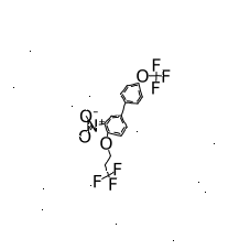 O=[N+]([O-])c1cc(-c2ccc(OC(F)(F)F)cc2)ccc1OCCC(F)(F)F